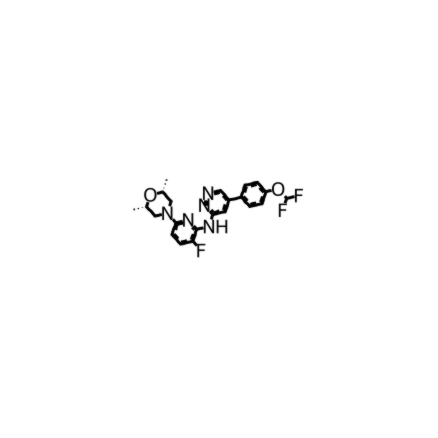 C[C@@H]1CN(c2ccc(F)c(Nc3cc(-c4ccc(OC(F)F)cc4)cnn3)n2)C[C@H](C)O1